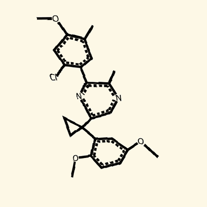 COc1ccc(OC)c(C2(c3cnc(C)c(-c4cc(C)c(OC)cc4Cl)n3)CC2)c1